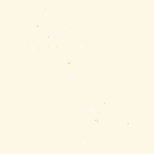 C=C/C=C\C(=C/C=C)N(/C(C)=C/C=C(C)/C(C)=C/C=C(\C)N(C(/C=C\C)=C/C)C(/C=C\C)=C/C=C\C)c1ccccc1